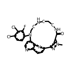 Cn1nc2cc1C(=O)NCCCNCCN(c1ccc(Cl)c(Cl)c1F)c1ccnc3ccc-2nc13